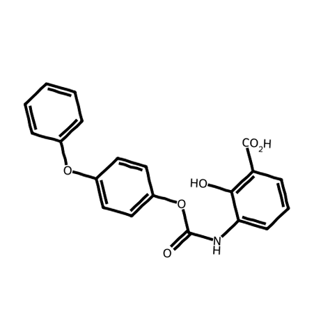 O=C(Nc1cccc(C(=O)O)c1O)Oc1ccc(Oc2ccccc2)cc1